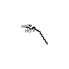 CCCCCCCCCCC#Cc1ccc(C(O)C(CO)N(C)C)s1